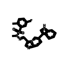 Cc1ccc(F)cc1S(=O)(=O)N(C)N=Cc1cnc2ccc(-c3c[nH]c4ccccc34)cn12